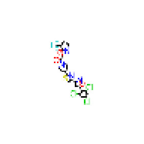 O=C(COc1ncccc1C(F)(F)F)N1CCC(c2nc(C3=NOC(c4c(Cl)cc(Cl)cc4Cl)C3)cs2)CC1